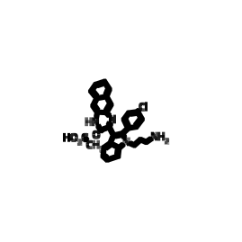 CC(=O)O.NCCCn1c(-c2ccc(Cl)cc2)c(-c2nc3cc4ccccc4cc3[nH]c2=O)c2ccccc21